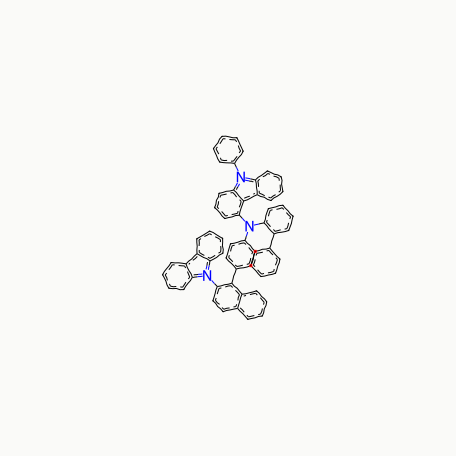 c1ccc(-c2ccccc2N(c2ccc(-c3c(-n4c5ccccc5c5ccccc54)ccc4ccccc34)cc2)c2cccc3c2c2ccccc2n3-c2ccccc2)cc1